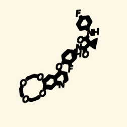 O=C(Nc1ccc(F)cc1)C1(C(=O)Nc2ccc(Oc3ccnc4cc5c(cc34)OCCOCCOCCO5)c(F)c2)CC1